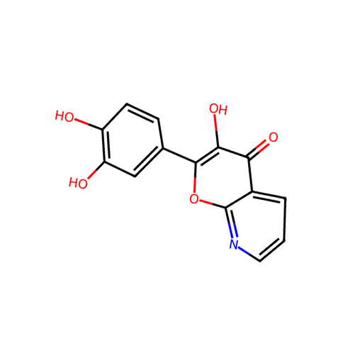 O=c1c(O)c(-c2ccc(O)c(O)c2)oc2ncccc12